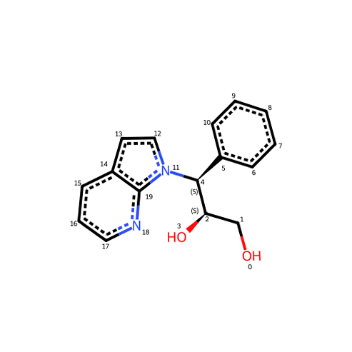 OC[C@@H](O)[C@H](c1ccccc1)n1ccc2cccnc21